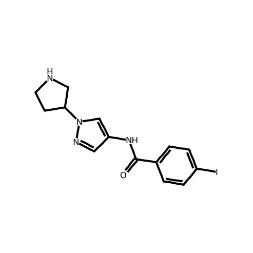 O=C(Nc1cnn(C2CCNC2)c1)c1ccc(I)cc1